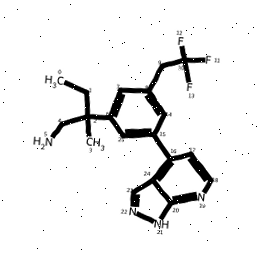 CCC(C)(CN)c1cc(CC(F)(F)F)cc(-c2ccnc3[nH]ncc23)c1